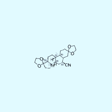 C[C@]12CCC3(CC1[C@@H](C#N)C[C@@H]1[C@@H]2CC[C@@]2(C)[C@H]1CCC21OCCO1)OCCO3